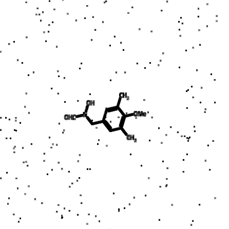 COc1c(C)cc(CN(O)C=O)cc1C